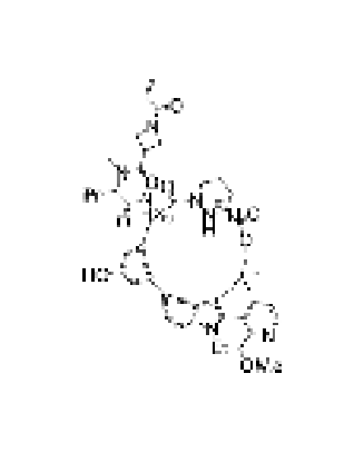 C=CC(=O)N1CC(C(=O)N(C)C(C(=O)N[C@H]2Cc3cc(O)cc(c3)-c3ccc4c(c3)c(c(-c3cccnc3COC)n4CC)CC(C)(C)COC(=O)[C@@H]3CCCN(N3)C2=O)C(C)C)C1